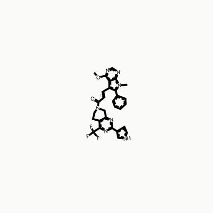 COc1ncnc2c1c(/C=C/C(=O)N1CCc3c(nc(-c4cc[nH]c4)nc3C(F)(F)F)C1)c(-c1ccccc1)n2C